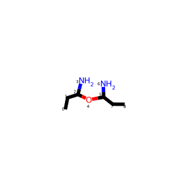 CCC(N)OC(N)CC